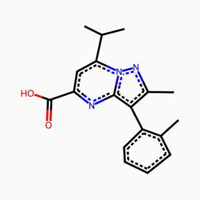 Cc1ccccc1-c1c(C)nn2c(C(C)C)cc(C(=O)O)nc12